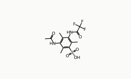 CC(=O)Nc1c(C)c(NC(=O)C(F)(F)F)c(C)c(S(=O)(=O)O)c1C